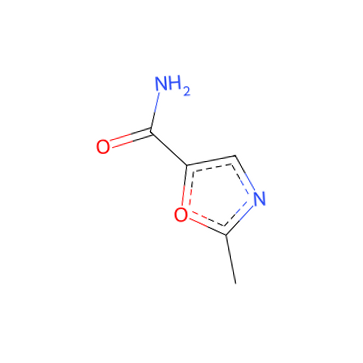 Cc1ncc(C(N)=O)o1